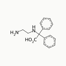 NCCNC(C(=O)O)(c1ccccc1)c1ccccc1